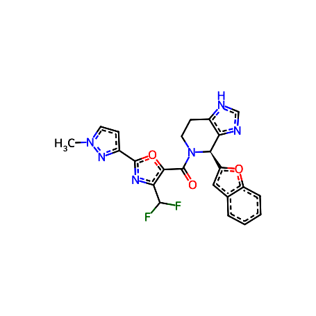 Cn1ccc(-c2nc(C(F)F)c(C(=O)N3CCc4[nH]cnc4[C@H]3c3cc4ccccc4o3)o2)n1